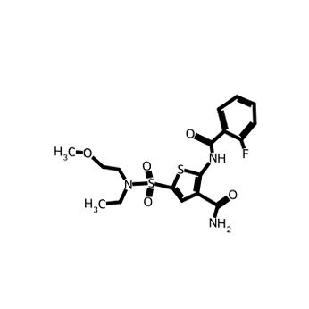 CCN(CCOC)S(=O)(=O)c1cc(C(N)=O)c(NC(=O)c2ccccc2F)s1